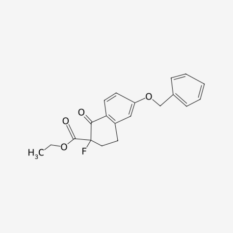 CCOC(=O)C1(F)CCc2cc(OCc3ccccc3)ccc2C1=O